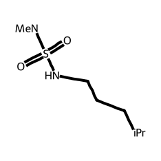 CNS(=O)(=O)NCCCC(C)C